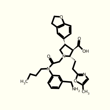 CCCCN(C(=O)CN1C[C@H](c2ccc3c(c2)CCO3)[C@@H](C(=O)O)[C@@H]1CCc1ncc(C)o1)c1cccc(CN)c1